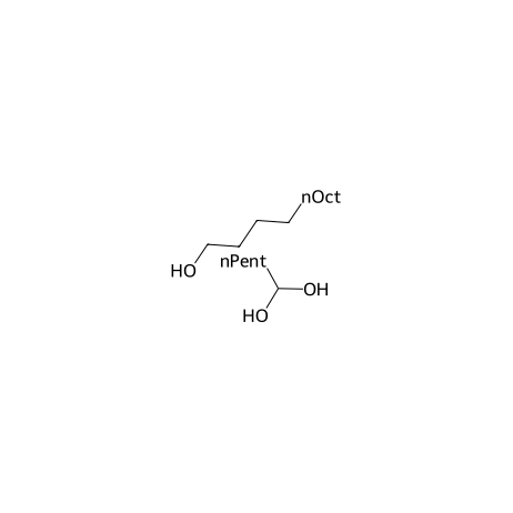 CCCCCC(O)O.CCCCCCCCCCCCO